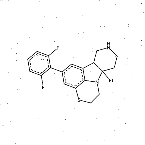 CCC12CCNCC1c1cc(-c3c(F)cccc3F)cc3c1N2CCS3